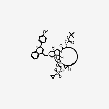 COc1ccc(-c2cc(CN3C[C@H]4CN5C(=O)[C@H](NC(=O)OC(C)(C)C)CCCCC/C=C\[C@@H]6C[C@@]6(C(=O)NS(=O)(=O)C6CC6)NC(=O)[C@@H]5[C@H]4C3)c3ccccc3n2)cc1